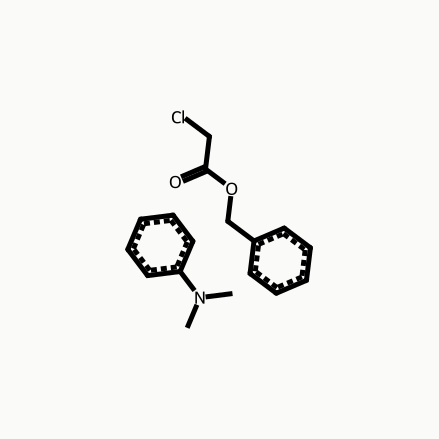 CN(C)c1ccccc1.O=C(CCl)OCc1ccccc1